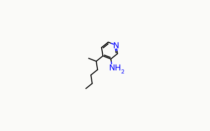 CCCCC(C)c1ccncc1N